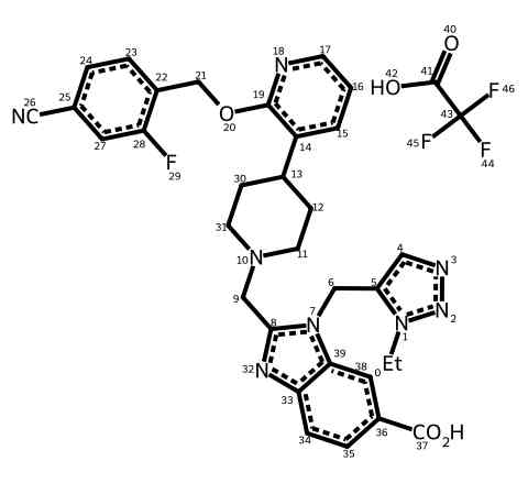 CCn1nncc1Cn1c(CN2CCC(c3cccnc3OCc3ccc(C#N)cc3F)CC2)nc2ccc(C(=O)O)cc21.O=C(O)C(F)(F)F